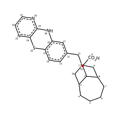 O=C(O)CC1C2CCCCC1CN(Cc1ccc3c(c1)Nc1nccnc1S3)C2